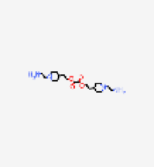 NCCN1CCC(CCOC(=O)C(=O)OCCC2CCN(CCN)CC2)CC1